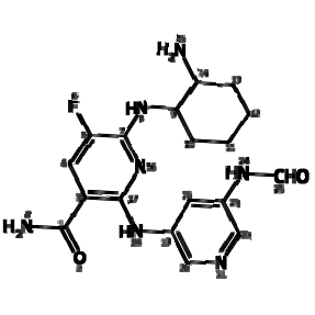 NC(=O)c1cc(F)c(NC2CCCCC2N)nc1Nc1cncc(NC=O)c1